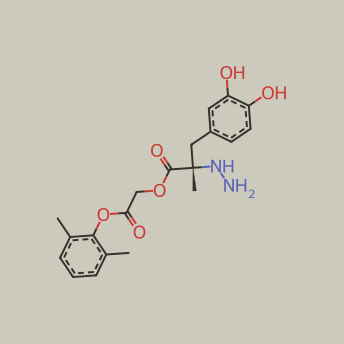 Cc1cccc(C)c1OC(=O)COC(=O)[C@](C)(Cc1ccc(O)c(O)c1)NN